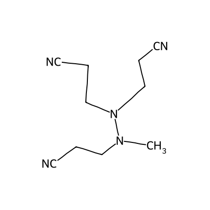 CN(CCC#N)N(CCC#N)CCC#N